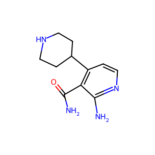 NC(=O)c1c(C2CCNCC2)ccnc1N